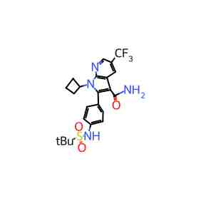 CC(C)(C)S(=O)(=O)Nc1ccc(-c2c(C(N)=O)c3cc(C(F)(F)F)cnc3n2C2CCC2)cc1